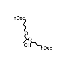 CCCCCCCCCCCCCCOCC(CO)OCCCCCCCCCCCCCC